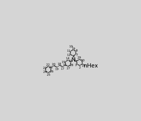 CCCCCCc1ccc(N(c2ccc(C)cc2)c2ccc(/C=C/C=C/c3ccccc3)cc2)cc1